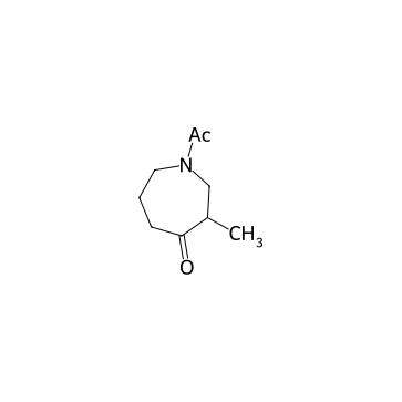 CC(=O)N1CCCC(=O)C(C)C1